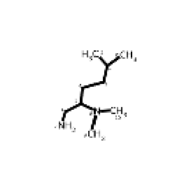 CC(C)CCC(CN)N(C)C